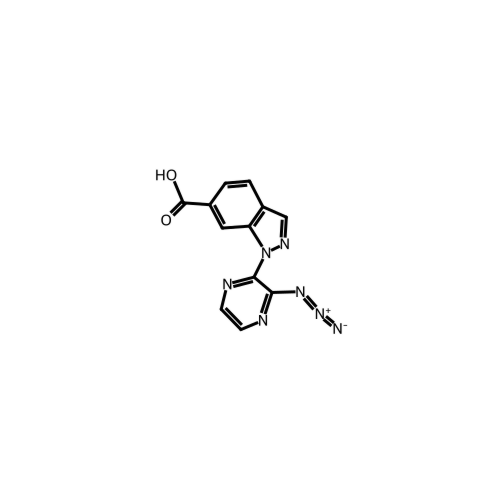 [N-]=[N+]=Nc1nccnc1-n1ncc2ccc(C(=O)O)cc21